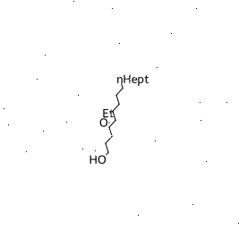 CCCCCCCCCCCCCCCCO.CC[O]